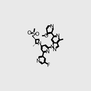 COc1ccncc1-c1cc2c(cnn2-c2cc(N3C[C@H](CS(C)(=O)=O)[C@H]3C)cc(-c3cncc(F)c3)n2)c(C)n1